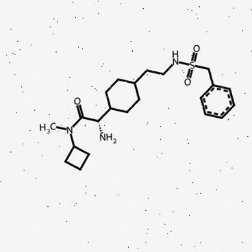 CN(C(=O)[C@@H](N)C1CCC(CCNS(=O)(=O)Cc2ccccc2)CC1)C1CCC1